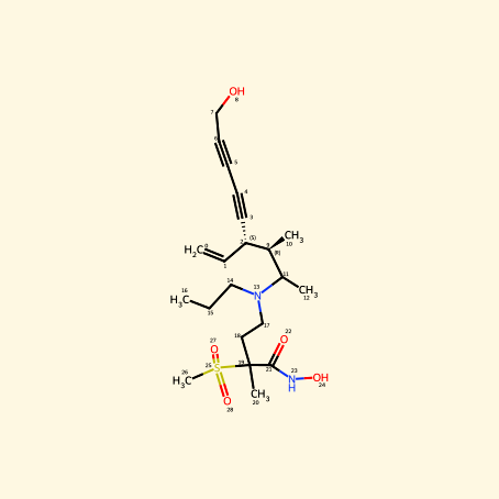 C=C[C@H](C#CC#CCO)[C@@H](C)C(C)N(CCC)CCC(C)(C(=O)NO)S(C)(=O)=O